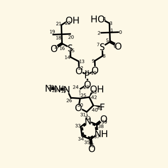 CC(C)(CO)C(=O)SCCOP(OCCSC(=O)C(C)(C)CO)OC[C@@]1(CN=[N+]=[N-])O[C@@H](n2ccc(=O)[nH]c2=O)[C@H](F)[C@@H]1O